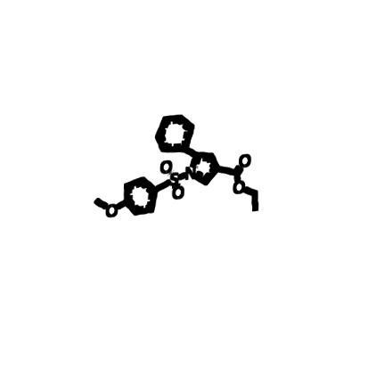 CCOC(=O)c1cc(-c2ccccc2)n(S(=O)(=O)c2ccc(OC)cc2)c1